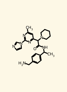 Cc1cc(C(C(=O)NC(C)c2ccc(CN)cc2)N2CCCCC2)nc(-n2ccnc2)n1